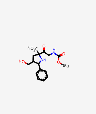 CC(C)(C)OC(=O)NCC(=O)C1(C(=O)O)CC(CO)C(c2ccccc2)N1